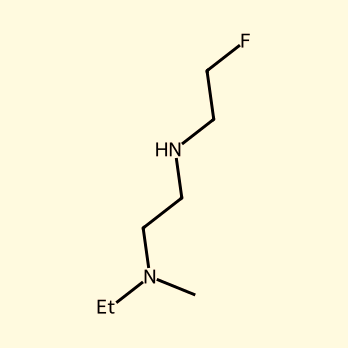 CCN(C)CCNCCF